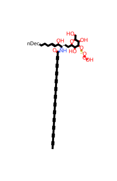 CC#CC#CC#CC#CC#CC#CC#CC#CC#CC#CC#CC#CC(=O)N[C@@H](CCC1OC(CO)C(O)C(OSOOO)C1O)[C@H](O)/C=C/CCCCCCCCCCCCC